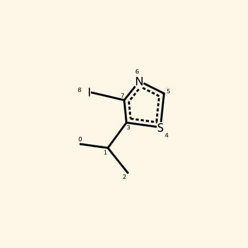 CC(C)c1scnc1I